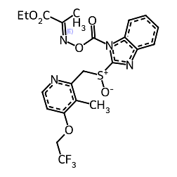 CCOC(=O)/C(C)=N/OC(=O)n1c([S+]([O-])Cc2nccc(OCC(F)(F)F)c2C)nc2ccccc21